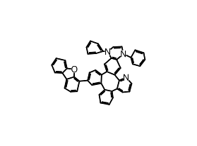 c1ccc(-n2ccn(-c3ccccc3)c3cc4c(cc32)c2ccc(-c3cccc5c3oc3ccccc35)cc2c2ccccc2c2cccnc24)cc1